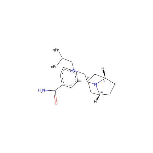 CCCC(CCC)CNCCN1[C@@H]2CC[C@H]1C[C@@H](c1cccc(C(N)=O)c1)C2